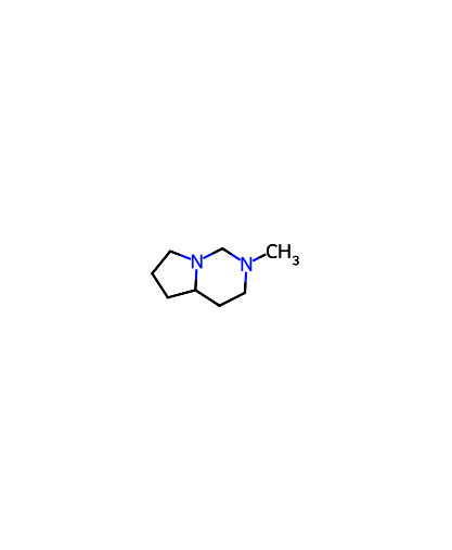 CN1CCC2CCCN2C1